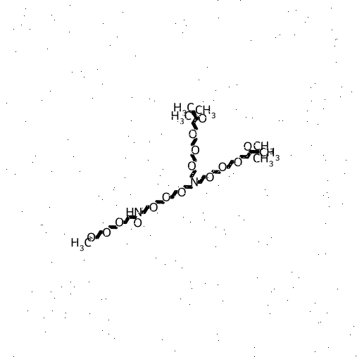 COCCOCCOCCC(=O)NCCOCCOCCOCCN(CCOCCOCCOCCC(=O)C(C)(C)C)CCOCCOCCOCCC(=O)C(C)(C)C